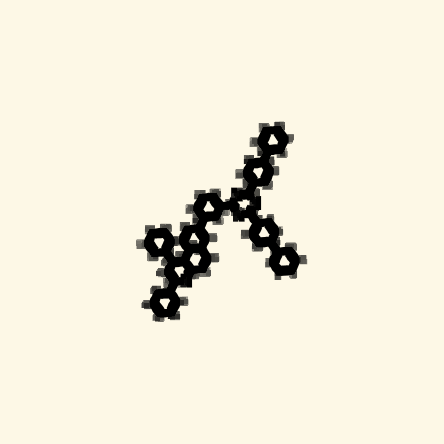 c1ccc(-c2ccc(-c3nc(-c4ccc(-c5ccccc5)cc4)nc(-c4cccc(-c5ccc6c(ccc7nc(-c8ccccc8)cc(-c8ccccc8)c76)c5)c4)n3)cc2)cc1